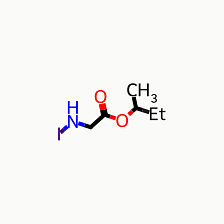 CCC(C)OC(=O)CNI